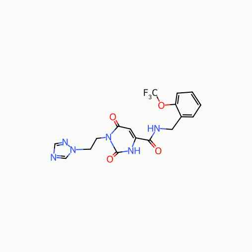 O=C(NCc1ccccc1OC(F)(F)F)c1cc(=O)n(CCn2cncn2)c(=O)[nH]1